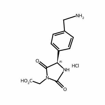 Cl.NCc1ccc([C@H]2NC(=O)N(CC(=O)O)C2=O)cc1